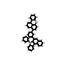 c1ccc(-n2c3ccccc3c3c4ccccc4cc(-c4cccc(-c5ccc6c7c(cccc57)-c5ccccc5O6)c4)c32)cc1